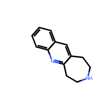 c1ccc2nc3c(cc2c1)CCNCC3